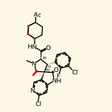 CC(=O)C12CCC(NC(=O)[C@H]3[C@H](c4cccc(Cl)c4F)[C@]4(C(=O)Nc5cc(Cl)ncc54)C4(CCCCC4)N3C)(CC1)CC2